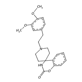 COc1ccc(CCN2CCC3(CC2)NC(=O)Oc2ccccc23)cc1OC